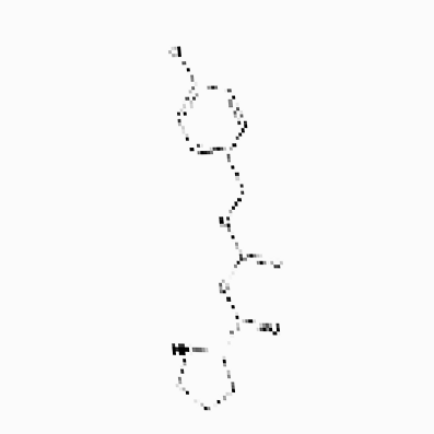 O=C(OCc1ccc(Cl)cc1)OC(=O)[C@@H]1CCCN1